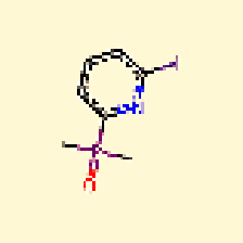 CP(C)(=O)c1cccc(I)n1